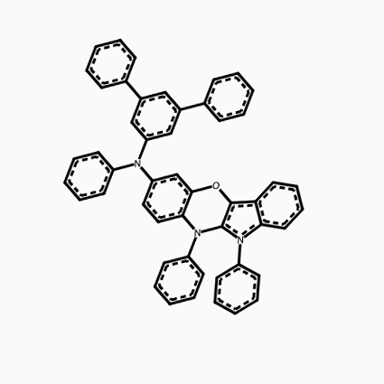 c1ccc(-c2cc(-c3ccccc3)cc(N(c3ccccc3)c3ccc4c(c3)Oc3c(n(-c5ccccc5)c5ccccc35)N4c3ccccc3)c2)cc1